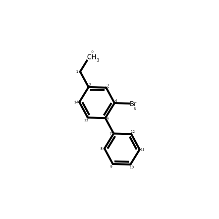 CCc1[c]c(Br)c(-c2ccccc2)cc1